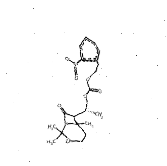 C[C@@H](OC(=O)OCc1ccccc1[N+](=O)[O-])[C@@H]1C(=O)N2C(C)(C)OCCC12C